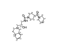 O=C(NC[C@H](O)CN1CCc2ccccc2C1)N1CCC(C(=O)N2CCOCC2)CC1